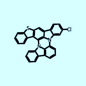 Clc1ccc2c3cc4sc5ccccc5c4c4c3n(c2c1)c1cccc2c3ccccc3n4c21